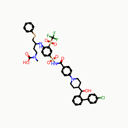 CN(CCC(CSc1ccccc1)Nc1ccc(S(=O)(=O)NC(=O)c2ccc(N3CCC(C(O)c4ccccc4-c4ccc(Cl)cc4)CC3)cc2)cc1S(=O)(=O)C(F)(F)F)C(=O)O